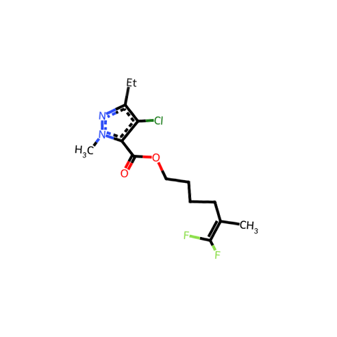 CCc1nn(C)c(C(=O)OCCCCC(C)=C(F)F)c1Cl